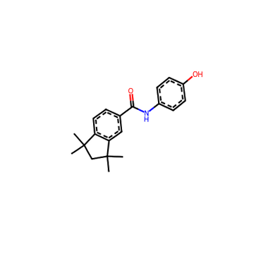 CC1(C)CC(C)(C)c2cc(C(=O)Nc3ccc(O)cc3)ccc21